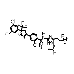 Cc1cc(C2=NOC(c3cc(Cl)cc(Cl)c3)(C(F)(F)F)C2)ccc1C(=O)Nc1nc(CCC(F)(F)F)n(CC(F)F)n1